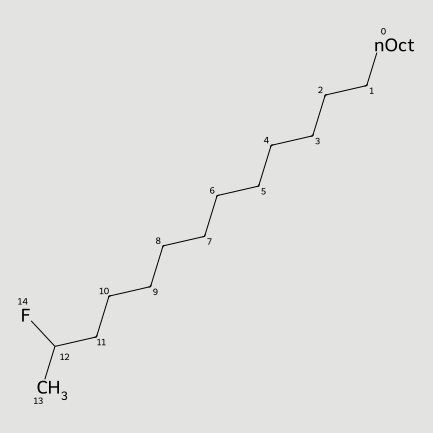 CCCCCCCCCCCCCCCCCCCC(C)F